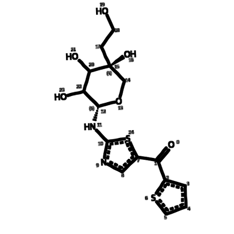 O=C(c1cccs1)c1cnc(N[C@H]2OC[C@@](O)(CCO)C(O)C2O)s1